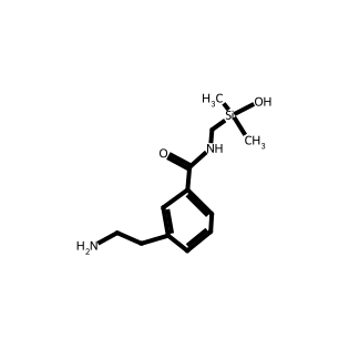 C[Si](C)(O)CNC(=O)c1cccc(CCN)c1